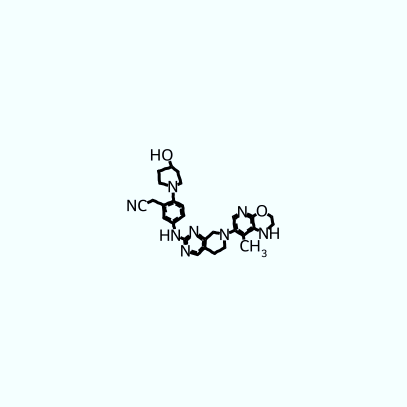 Cc1c(N2CCc3cnc(Nc4ccc(N5CCC(O)CC5)c(CC#N)c4)nc3C2)cnc2c1NCCO2